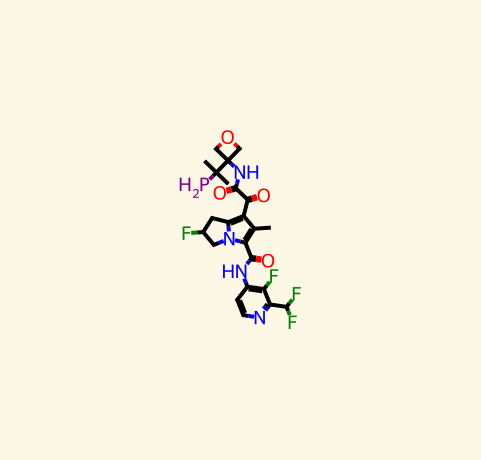 Cc1c(C(=O)C(=O)NC2(C(C)(C)P)COC2)c2n(c1C(=O)Nc1ccnc(C(F)F)c1F)CC(F)C2